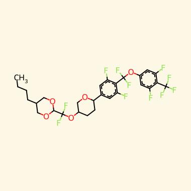 CCCCC1COC(C(F)(F)OC2CCC(c3cc(F)c(C(F)(F)Oc4cc(F)c(C(F)(F)F)c(F)c4)c(F)c3)OC2)OC1